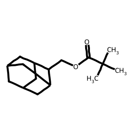 CC(C)(C)C(=O)OCC1C2CC3CC(C2)CC1C3